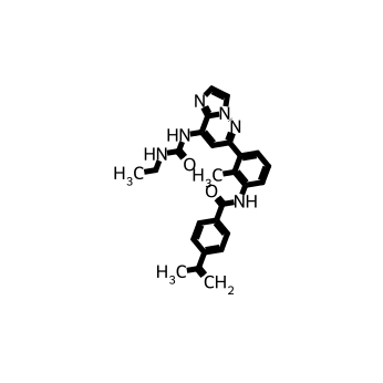 C=C(C)c1ccc(C(=O)Nc2cccc(-c3cc(NC(=O)NCC)c4nccn4n3)c2C)cc1